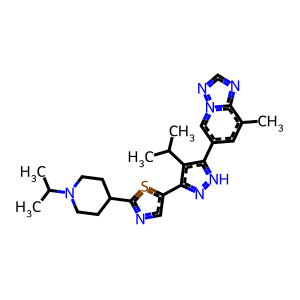 Cc1cc(-c2[nH]nc(-c3cnc(C4CCN(C(C)C)CC4)s3)c2C(C)C)cn2ncnc12